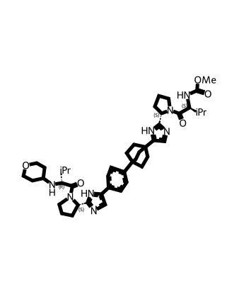 COC(=O)N[C@H](C(=O)N1CCC[C@H]1c1ncc(C23CCC(c4ccc(-c5cnc([C@@H]6CCCN6C(=O)[C@H](NC6CCOCC6)C(C)C)[nH]5)cc4)(CC2)CC3)[nH]1)C(C)C